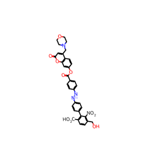 O=C(Oc1ccc2c(CN3CCOCC3)cc(=O)oc2c1)c1ccc(/N=N/c2ccc(-c3c(C(=O)O)ccc(CO)c3[N+](=O)[O-])cc2)cc1